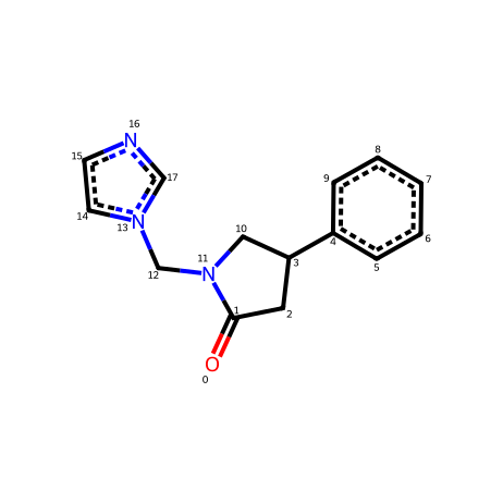 O=C1CC(c2ccccc2)CN1Cn1ccnc1